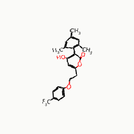 Cc1cc(C)c(-c2c(O)cc(CCOc3ccc(C(F)(F)F)cc3)oc2=O)c(C)c1